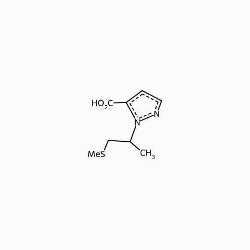 CSCC(C)n1nccc1C(=O)O